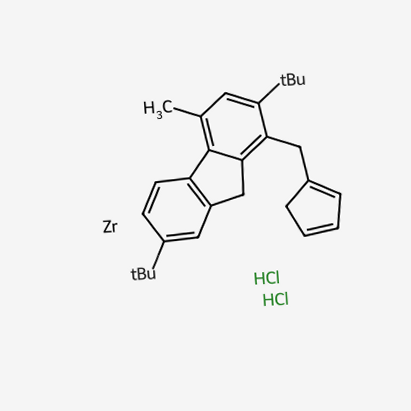 Cc1cc(C(C)(C)C)c(CC2=CC=CC2)c2c1-c1ccc(C(C)(C)C)cc1C2.Cl.Cl.[Zr]